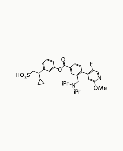 COc1cc(-c2ccc(C(=O)Oc3cccc(C(CS(=O)(=O)O)C4CC4)c3)cc2CN(C(C)C)C(C)C)c(F)cn1